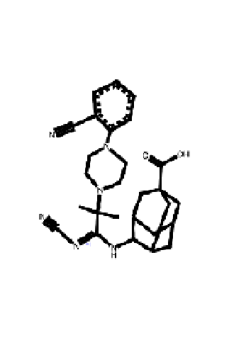 CC(C)(/C(=N\C#N)NC1C2CC3CC1CC(C(=O)O)(C3)C2)N1CCN(c2ccccc2C#N)CC1